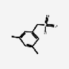 Cc1cc(C)cc(CS(=O)(=O)Cl)c1